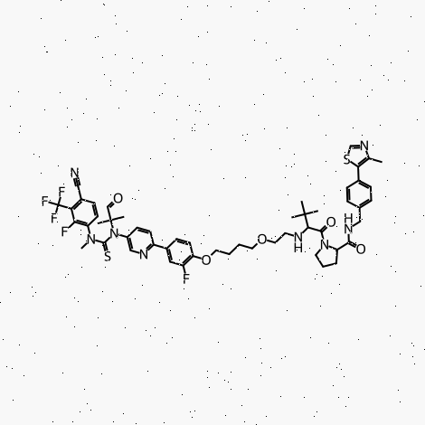 Cc1ncsc1-c1ccc(CNC(=O)C2CCCN2C(=O)C(NCCOCCCCOc2ccc(-c3ccc(N(C(=S)N(C)c4ccc(C#N)c(C(F)(F)F)c4F)C(C)(C)C=O)cn3)cc2F)C(C)(C)C)cc1